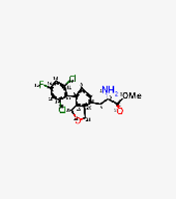 COC(=O)[C@@H](N)Cc1ccc(-c2c(Cl)cc(F)cc2Cl)c2c1COC2